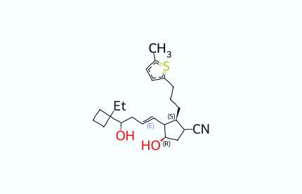 CCC1(C(O)C/C=C/C2[C@@H](CCCc3ccc(C)s3)C(C#N)C[C@H]2O)CCC1